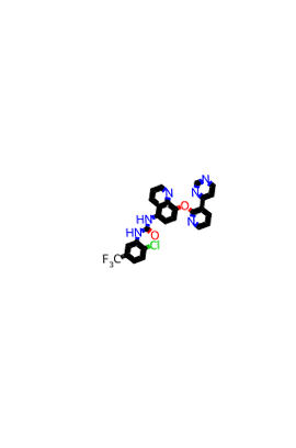 O=C(Nc1cc(C(F)(F)F)ccc1Cl)Nc1ccc(Oc2ncccc2-c2ccncn2)c2ncccc12